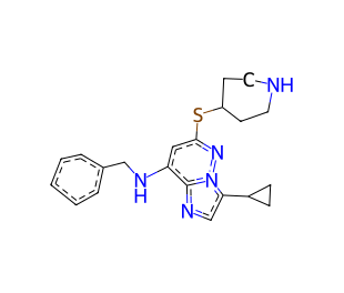 c1ccc(CNc2cc(SC3CCNCC3)nn3c(C4CC4)cnc23)cc1